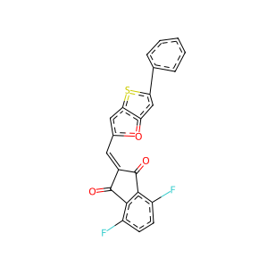 O=C1C(=Cc2cc3sc(-c4ccccc4)cc3o2)C(=O)c2c(F)ccc(F)c21